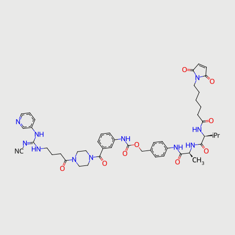 CC(C)[C@H](NC(=O)CCCCCN1C(=O)C=CC1=O)C(=O)N[C@@H](C)C(=O)Nc1ccc(COC(=O)Nc2cccc(C(=O)N3CCN(C(=O)CCCN/C(=N\C#N)Nc4cccnc4)CC3)c2)cc1